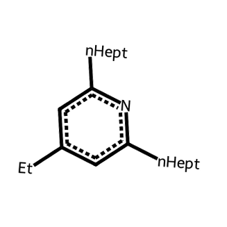 [CH2]Cc1cc(CCCCCCC)nc(CCCCCCC)c1